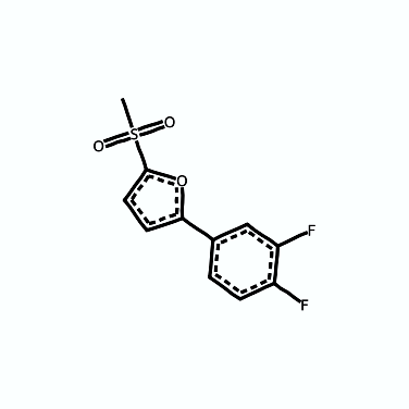 CS(=O)(=O)c1ccc(-c2ccc(F)c(F)c2)o1